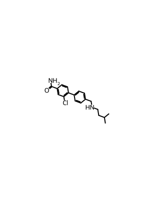 CC(C)CCNCc1ccc(-c2ccc(C(N)=O)cc2Cl)cc1